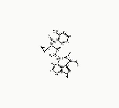 C/C=C(/NC)c1c[nH]c2ncnc(N[C@@H](C)c3cc4cccc(Cl)c4c(=O)n3C3CC3)c12